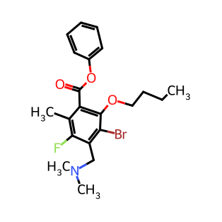 CCCCOc1c(Br)c(CN(C)C)c(F)c(C)c1C(=O)Oc1ccccc1